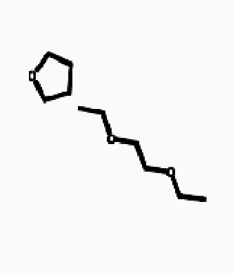 C1CCOC1.CCOCCOCC